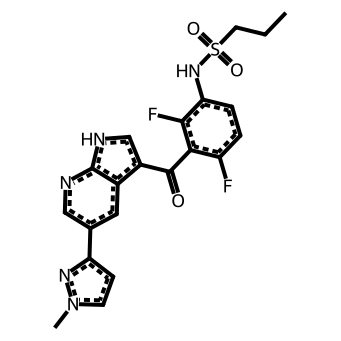 CCCS(=O)(=O)Nc1ccc(F)c(C(=O)c2c[nH]c3ncc(-c4ccn(C)n4)cc23)c1F